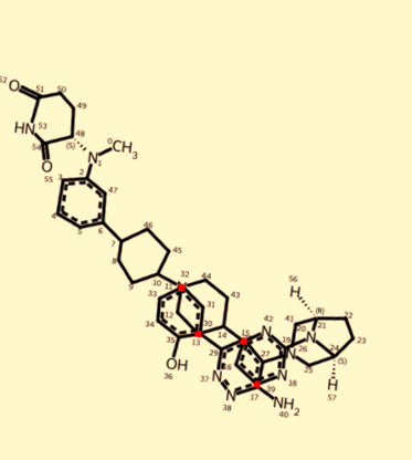 CN(c1cccc(C2CCC(N3CCC(c4ccnc(N5[C@@H]6CC[C@H]5CN(c5cc(-c7ccccc7O)nnc5N)C6)n4)CC3)CC2)c1)[C@H]1CCC(=O)NC1=O